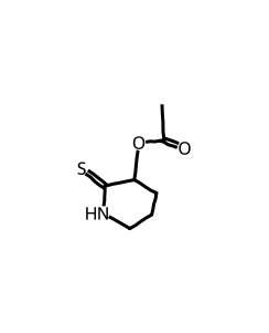 CC(=O)OC1CCCNC1=S